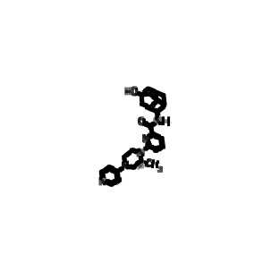 C[C@@H]1CN(c2ccncc2)CCN1c1cccc(C(=O)NC2C3CC4CC2CC(O)(C4)C3)n1